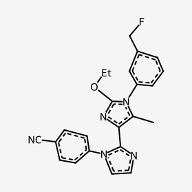 CCOc1nc(-c2nccn2-c2ccc(C#N)cc2)c(C)n1-c1cccc(CF)c1